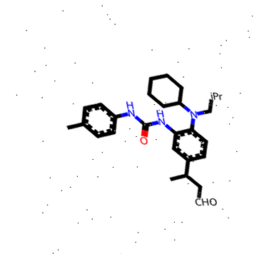 Cc1ccc(NC(=O)Nc2cc(C(C)CC=O)ccc2N(CC(C)C)C2CCCCC2)cc1